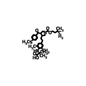 CSc1ccc(C(=O)C2CN(C(=O)OCCC(C)C)CC2CCc2cc(C)c(BC(C)(C)C(=O)O)c(C)c2)cc1